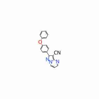 N#Cc1c(-c2ccc(Oc3ccccc3)cc2)nn2cccnc12